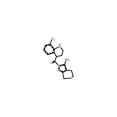 Nc1c2c(nn1C(=O)C1CCNc3c1cccc3C(F)(F)F)CNCC2